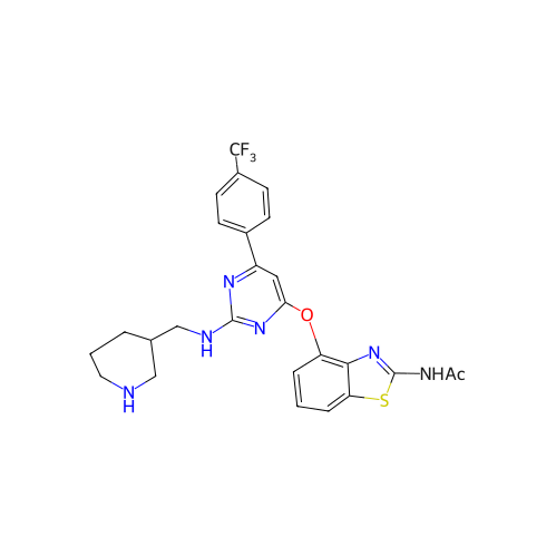 CC(=O)Nc1nc2c(Oc3cc(-c4ccc(C(F)(F)F)cc4)nc(NCC4CCCNC4)n3)cccc2s1